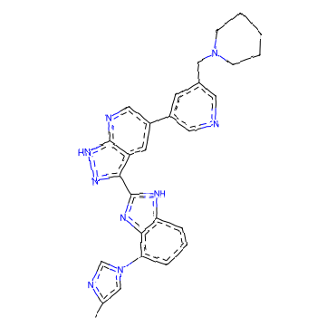 Cc1cn(-c2cccc3[nH]c(-c4n[nH]c5ncc(-c6cncc(CN7CCCCC7)c6)cc45)nc23)cn1